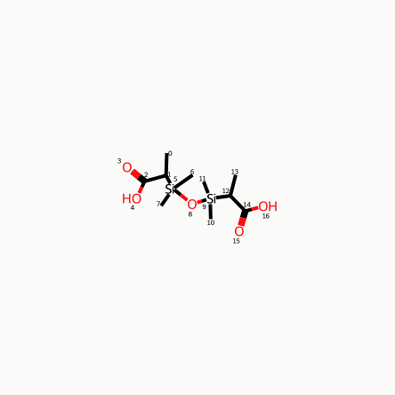 CC(C(=O)O)[Si](C)(C)O[Si](C)(C)C(C)C(=O)O